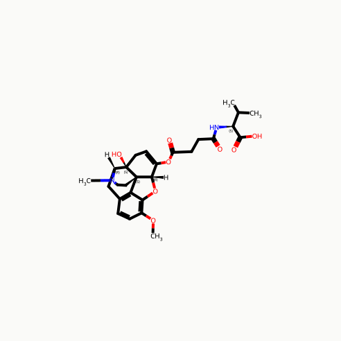 COc1ccc2c3c1O[C@H]1C(OC(=O)CCC(=O)N[C@H](C(=O)O)C(C)C)=CC[C@@]4(O)[C@@H](C2)N(C)CC[C@]314